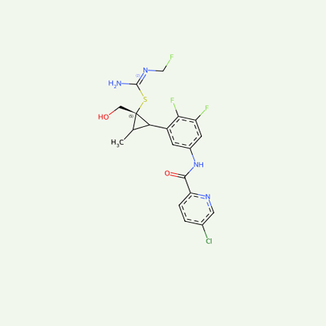 CC1C(c2cc(NC(=O)c3ccc(Cl)cn3)cc(F)c2F)[C@@]1(CO)S/C(N)=N\CF